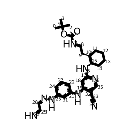 CC(C)(C)OC(=O)NCC[C@H]1CCCC[C@H]1Nc1cc(Nc2cccc(N/N=C\C=N)c2)c(C#N)cn1